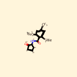 COc1cc(C(F)(F)F)cc(SC)c1C(=O)NC1CCCC1=O